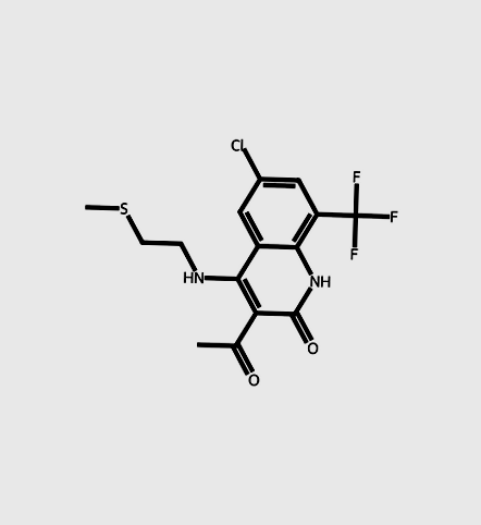 CSCCNc1c(C(C)=O)c(=O)[nH]c2c(C(F)(F)F)cc(Cl)cc12